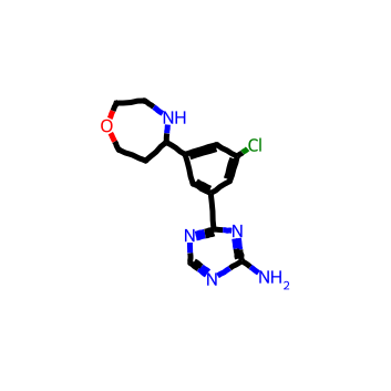 Nc1ncnc(-c2cc(Cl)cc(C3CCOCCN3)c2)n1